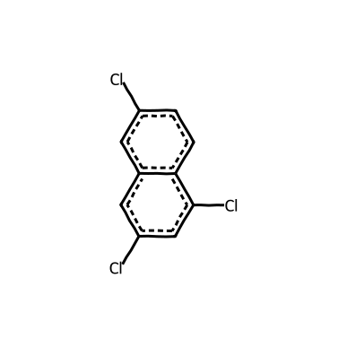 Clc1ccc2c(Cl)cc(Cl)cc2c1